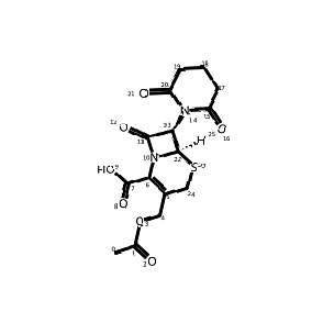 CC(=O)OCC1=C(C(=O)O)N2C(=O)[C@@H](N3C(=O)CCCC3=O)[C@H]2SC1